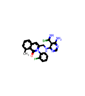 Cc1cccc2cc(CNc3ncnc(N)c3C(=N)Br)n(-c3ccccc3F)c(=O)c12